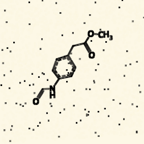 COC(=O)Cc1ccc(NC=O)cc1